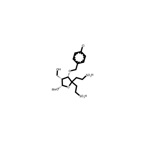 CO[C@H]1OC(CCS(=O)(=O)O)(CCS(=O)(=O)O)[C@@H](OCc2ccc(Cl)cc2)[C@H]1CO